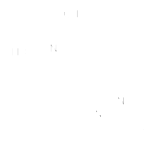 CN(C)CCn1cc[c]n1